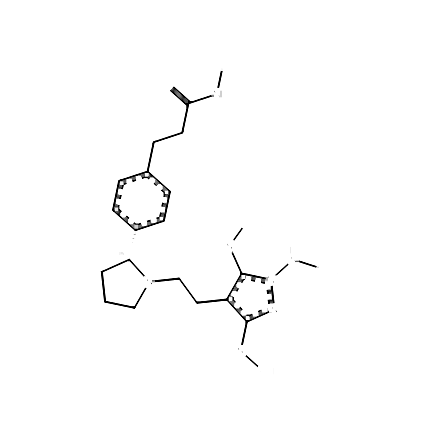 CNc1nn(NC)c(NC)c1CCN1CCC[C@@H]1c1ccc(CCC(=O)NO)cc1